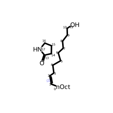 CCCCCCCC/C=C\CCCCCCCCO.O=C1CCCN1